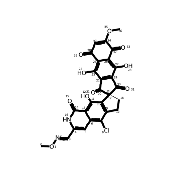 CON=Cc1cc2c(Cl)c3c(c(O)c2c(=O)[nH]1)[C@@]1(CC3)C(=O)c2c(O)c3c(c(O)c2C1=O)C(=O)C(OC)=CC3=O